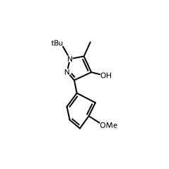 COc1cccc(-c2nn(C(C)(C)C)c(C)c2O)c1